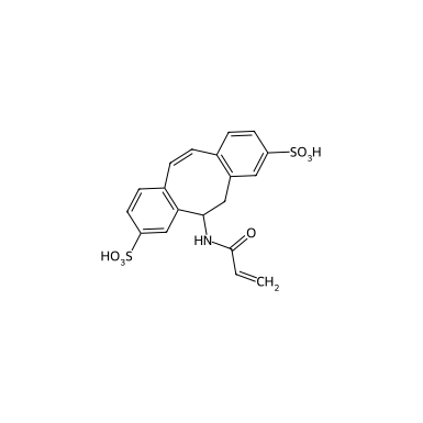 C=CC(=O)NC1Cc2cc(S(=O)(=O)O)ccc2/C=C\c2ccc(S(=O)(=O)O)cc21